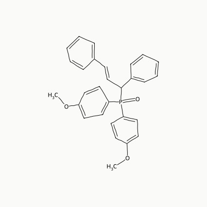 COc1ccc(P(=O)(c2ccc(OC)cc2)C(/C=C/c2ccccc2)c2ccccc2)cc1